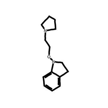 c1ccc2c(c1)CCN2OCCN1CCCC1